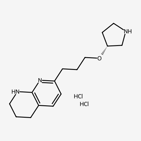 Cl.Cl.c1cc2c(nc1CCCO[C@@H]1CCNC1)NCCC2